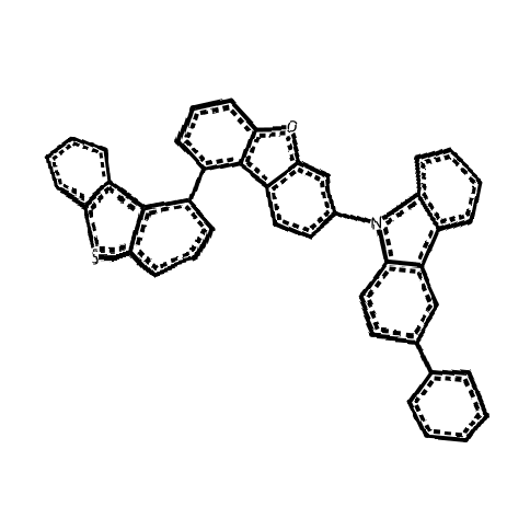 c1ccc(-c2ccc3c(c2)c2ccccc2n3-c2ccc3c(c2)oc2cccc(-c4cccc5sc6ccccc6c45)c23)cc1